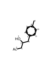 CC(=O)CC(O)Cc1ccc(C)cc1